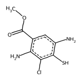 COC(=O)c1cc(N)c(S)c(Cl)c1N